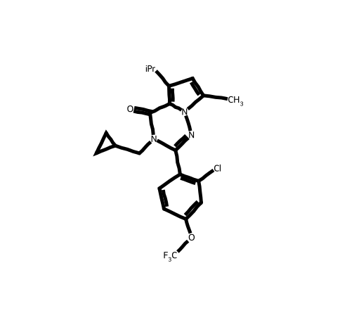 Cc1cc(C(C)C)c2c(=O)n(CC3CC3)c(-c3ccc(OC(F)(F)F)cc3Cl)nn12